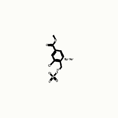 COC(=O)c1ccc(C[SH-]S(=O)(=O)[O-])c(Cl)c1.[Na+].[Na+]